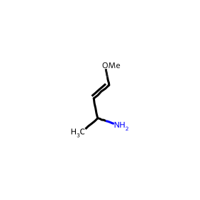 COC=CC(C)N